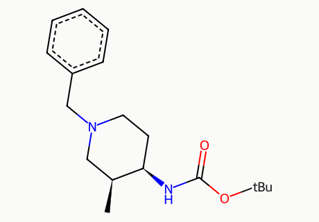 C[C@H]1CN(Cc2ccccc2)CC[C@H]1NC(=O)OC(C)(C)C